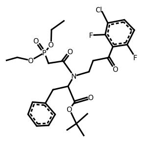 CCOP(=O)(CC(=O)N(CCC(=O)c1c(F)ccc(Cl)c1F)C(Cc1ccccc1)C(=O)OC(C)(C)C)OCC